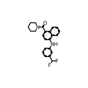 O=C(c1ccc(Nc2cccc(C(F)F)c2)c2ccccc12)N1CCCCC1